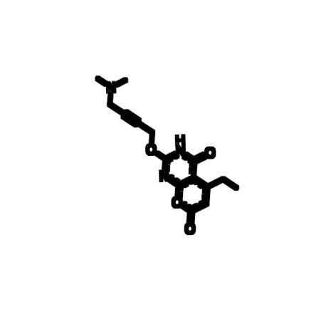 CCc1cc(=O)oc2nc(OCC#CCN(C)C)[nH]c(=O)c12